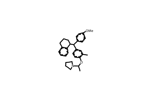 COc1ccc(C(c2ccc(OC(C)N3CCCC3)c(C)c2)C2CCCc3ccccc32)cc1